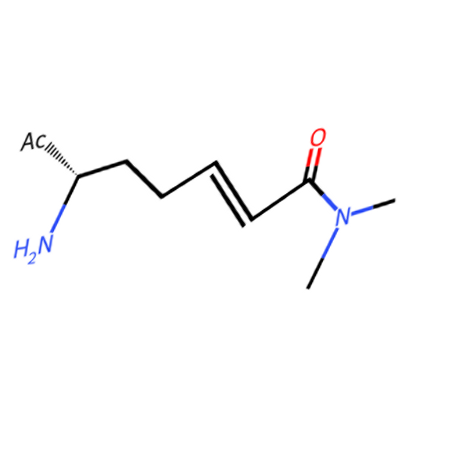 CC(=O)[C@@H](N)CC/C=C/C(=O)N(C)C